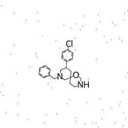 Clc1ccc(C2CN(Cc3ccccc3)CC3(CCNCO3)C2)cc1